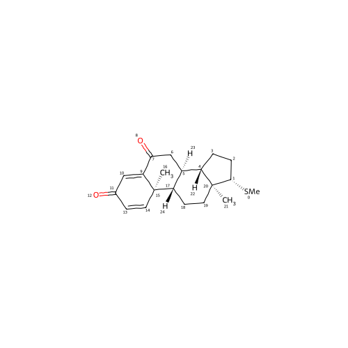 CS[C@H]1CC[C@H]2[C@@H]3CC(=O)C4=CC(=O)C=C[C@]4(C)[C@H]3CC[C@]12C